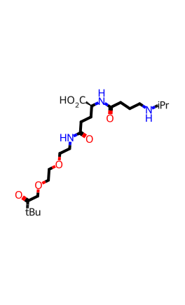 CC(C)NCCCC(=O)N[C@@H](CCC(=O)NCCOCCOCC(=O)C(C)(C)C)C(=O)O